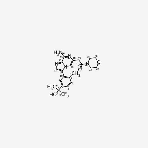 Cc1ccc(C(C)(O)C(F)(F)F)cc1-c1cnc2c(N)nc(CC(=O)N3CCOCC3)cn12